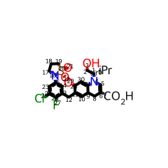 CC(C)[C@@H](CO)N1C=C(C(=O)O)CC2C=C(Cc3cc(N4CCCS4(=O)=O)cc(Cl)c3F)C(=O)C=C21